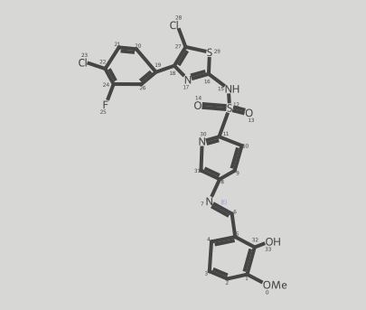 COc1cccc(/C=N/c2ccc(S(=O)(=O)Nc3nc(-c4ccc(Cl)c(F)c4)c(Cl)s3)nc2)c1O